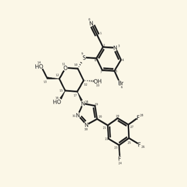 N#Cc1ncc(Br)cc1S[C@H]1O[C@H](CO)[C@H](O)[C@H](n2cc(-c3cc(F)c(F)c(F)c3)nn2)[C@H]1O